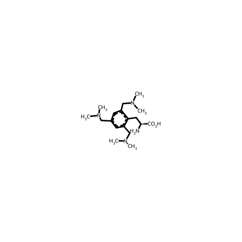 CN(C)Cc1cc(CN(C)C)c(C[C@H](N)C(=O)O)c(CN(C)C)c1